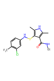 CCNC(=O)c1c(C)[nH]c(C)c1SNc1ccc(C(F)(F)F)c(Cl)c1